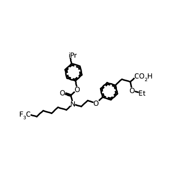 CCOC(Cc1ccc(OCCN(CCCCCC(F)(F)F)C(=O)Oc2ccc(C(C)C)cc2)cc1)C(=O)O